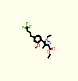 CCOC(=O)c1nn(CC)c(-c2ccc(CCCC(F)(F)F)cc2OC)c1C